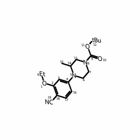 CCOc1cc(N2CCN(C(=O)OC(C)(C)C)CC2C)ccc1C#N